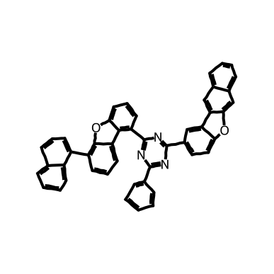 c1ccc(-c2nc(-c3ccc4oc5cc6ccccc6cc5c4c3)nc(-c3cccc4oc5c(-c6cccc7ccccc67)cccc5c34)n2)cc1